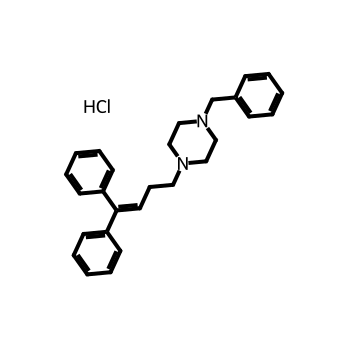 C(CCN1CCN(Cc2ccccc2)CC1)=C(c1ccccc1)c1ccccc1.Cl